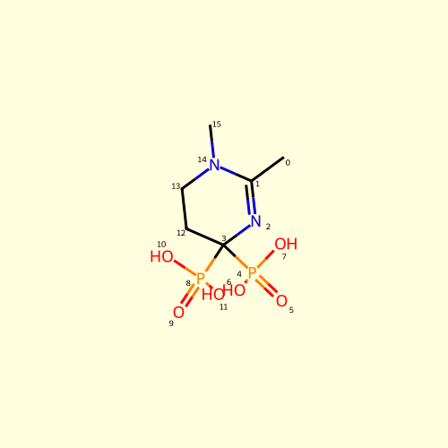 CC1=NC(P(=O)(O)O)(P(=O)(O)O)CCN1C